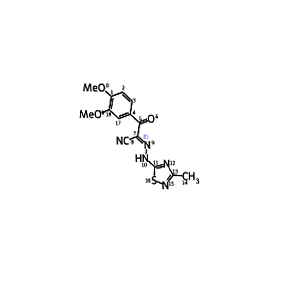 COc1ccc(C(=O)/C(C#N)=N/Nc2nc(C)ns2)cc1OC